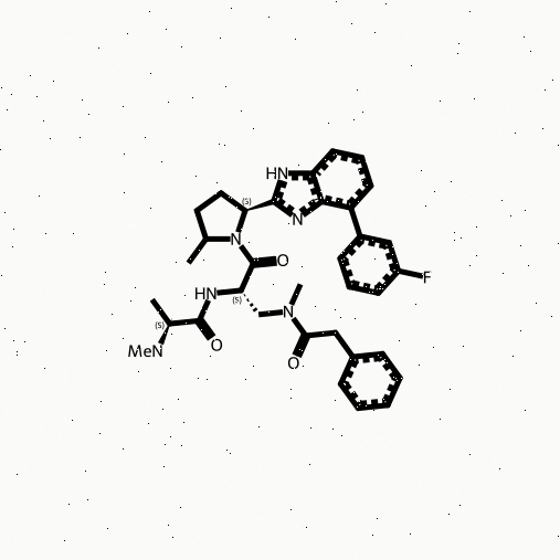 CN[C@@H](C)C(=O)N[C@@H](CN(C)C(=O)Cc1ccccc1)C(=O)N1C(C)CC[C@H]1c1nc2c(-c3cccc(F)c3)cccc2[nH]1